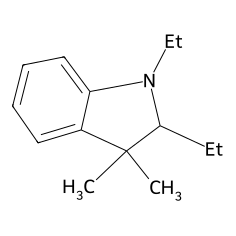 CCC1N(CC)c2ccccc2C1(C)C